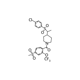 CC(C1CCN(C(=O)c2ccc(S(C)(=O)=O)cc2OC(F)(F)F)CC1)S(=O)(=O)c1ccc(Cl)cc1